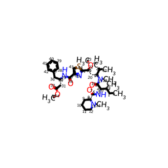 CC[C@H](C)[C@H](NC(=O)[C@H]1CCCCN1C)C(=O)N(C)[C@H](C[C@@H](OC)c1nc(C(=O)N[C@H](CC(=O)OC)Cc2ccccc2)cs1)C(C)C